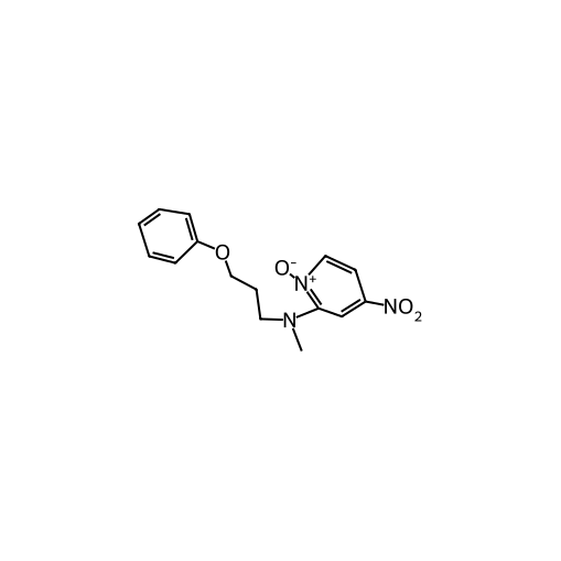 CN(CCCOc1ccccc1)c1cc([N+](=O)[O-])cc[n+]1[O-]